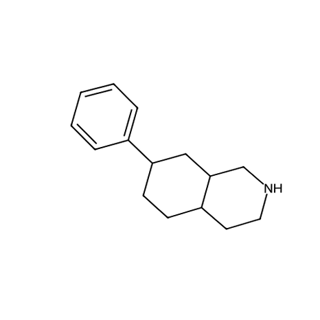 c1ccc(C2CCC3CCNCC3C2)cc1